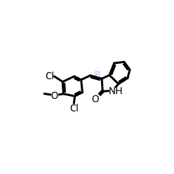 COc1c(Cl)cc(/C=C2\C(=O)Nc3ccccc32)cc1Cl